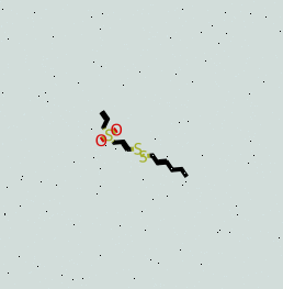 C=CCS(=O)(=O)CC=CSSCC=CCCC